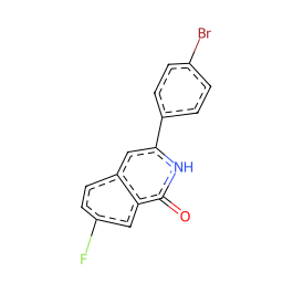 O=c1[nH]c(-c2ccc(Br)cc2)cc2ccc(F)cc12